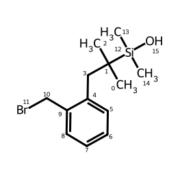 CC(C)(Cc1ccccc1CBr)[Si](C)(C)O